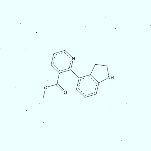 COC(=O)c1cccnc1-c1cccc2c1CCN2